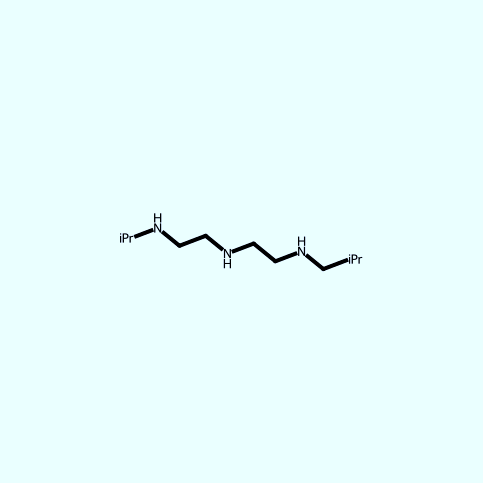 CC(C)CNCCNCCNC(C)C